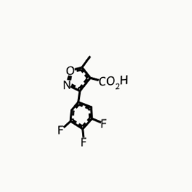 Cc1onc(-c2cc(F)c(F)c(F)c2)c1C(=O)O